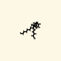 CCCCCCCC(CCCCC)[C@@H]1CN2CCC1CC2